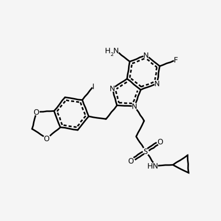 Nc1nc(F)nc2c1nc(Cc1cc3c(cc1I)OCO3)n2CCS(=O)(=O)NC1CC1